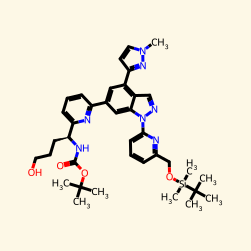 Cn1ccc(-c2cc(-c3cccc([C@H](CCCO)NC(=O)OC(C)(C)C)n3)cc3c2cnn3-c2cccc(CO[Si](C)(C)C(C)(C)C)n2)n1